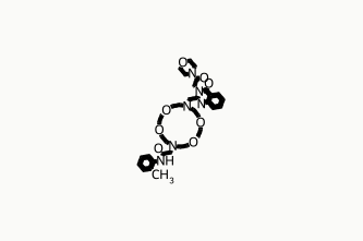 Cc1ccccc1NC(=O)CN1CCOCCOCCN(Cc2nc3ccccc3c(=O)n2CC(=O)N2CCOCC2)CCOCCOCC1